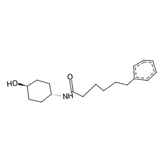 O=C(CCCCCc1ccccc1)N[C@H]1CC[C@H](O)CC1